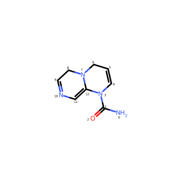 NC(=O)N1C=CCN2CC=NC=C21